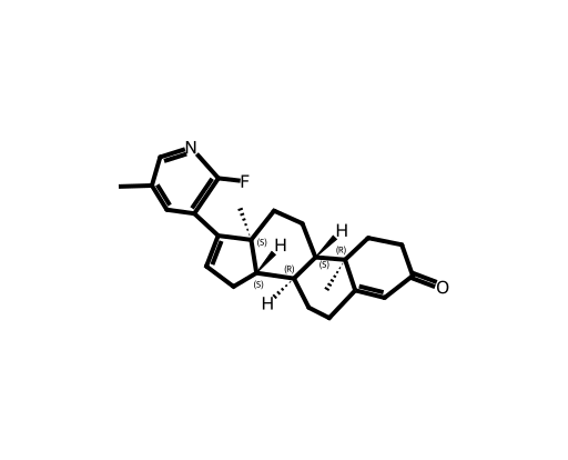 Cc1cnc(F)c(C2=CC[C@H]3[C@@H]4CCC5=CC(=O)CC[C@]5(C)[C@H]4CC[C@]23C)c1